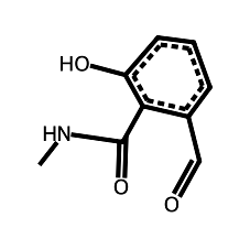 CNC(=O)c1c(O)cccc1C=O